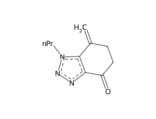 C=C1CCC(=O)c2nnn(CCC)c21